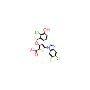 COC(=O)c1sc(-n2cnc3cc(Cl)c(F)cc32)cc1O[C@H](C)c1cccc(O)c1Cl